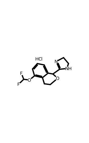 Cl.FC(F)Oc1cccc2c1CCOC2C1=NCCN1